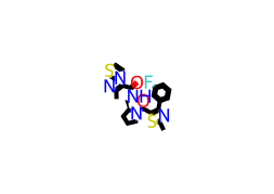 Cc1nc(-c2cccc(F)c2)c(C(=O)N2CCC[C@H]2CNC(=O)c2c(C)nc3sccn23)s1